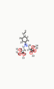 C=Cc1ccc(N(CC[Si](OC)(OC)OC)CC[Si](OC)(OC)OC)cc1